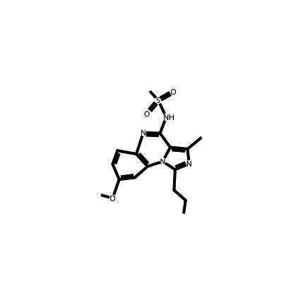 CCCc1nc(C)c2c(NS(C)(=O)=O)nc3ccc(OC)cc3n12